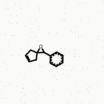 C1=CCC2(C1)OC2c1ccccc1